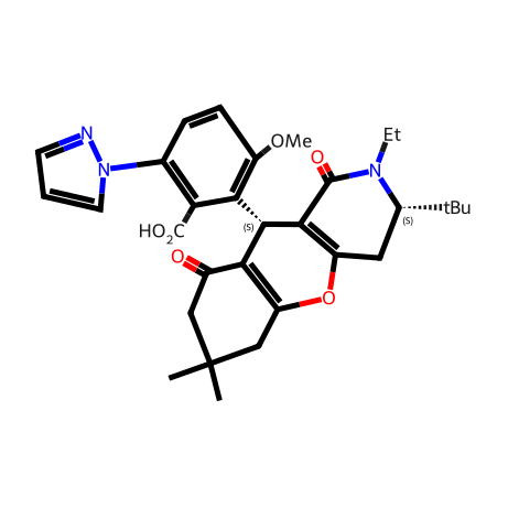 CCN1C(=O)C2=C(C[C@H]1C(C)(C)C)OC1=C(C(=O)CC(C)(C)C1)[C@@H]2c1c(OC)ccc(-n2cccn2)c1C(=O)O